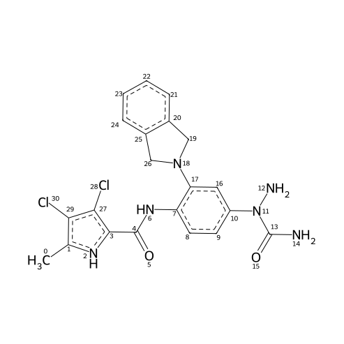 Cc1[nH]c(C(=O)Nc2ccc(N(N)C(N)=O)cc2N2Cc3ccccc3C2)c(Cl)c1Cl